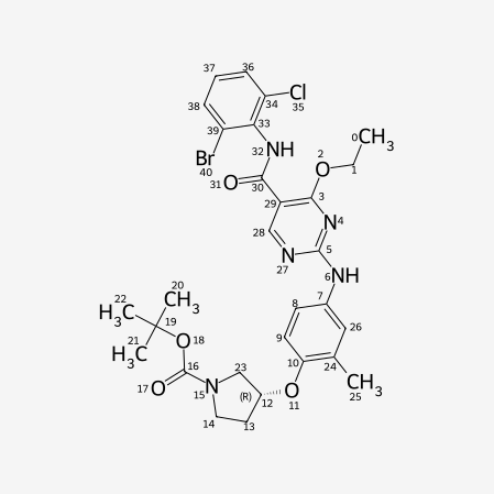 CCOc1nc(Nc2ccc(O[C@@H]3CCN(C(=O)OC(C)(C)C)C3)c(C)c2)ncc1C(=O)Nc1c(Cl)cccc1Br